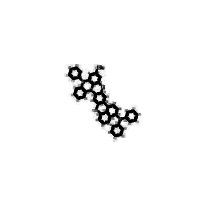 CC(C)(C)c1cc2c3c(c1)N(c1ccccc1)c1ccccc1B3c1cc3c(cc1O2)-c1ccc(N(c2ccccc2)c2ccccc2)c2cccc(c12)S3